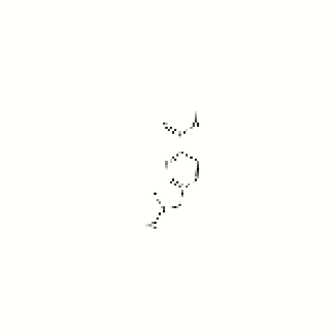 COC(=O)c1ccc2c(c1)CN(OC)C2